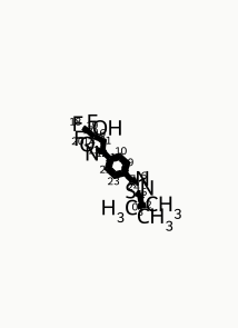 CC(C)(C)c1nnc(-c2ccc(C3=NOC(O)(C(F)(F)F)C3)cc2)s1